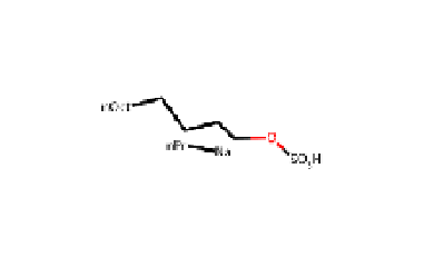 CCCCCCCCCCCCOS(=O)(=O)O.CC[CH2][Na]